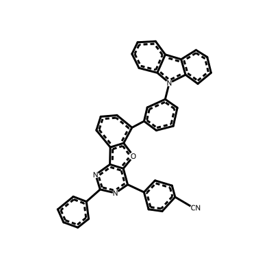 N#Cc1ccc(-c2nc(-c3ccccc3)nc3c2oc2c(-c4cccc(-n5c6ccccc6c6ccccc65)c4)cccc23)cc1